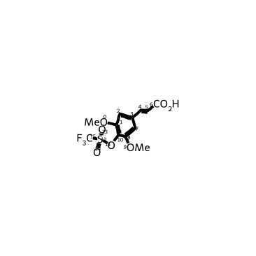 COc1cc(/C=C/C(=O)O)cc(OC)c1OS(=O)(=O)C(F)(F)F